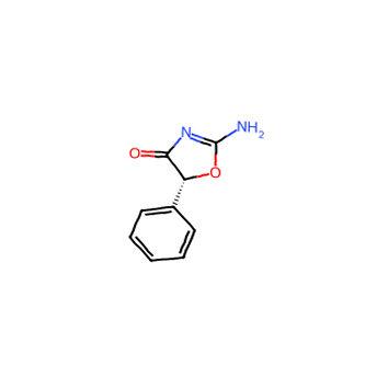 NC1=NC(=O)[C@@H](c2ccccc2)O1